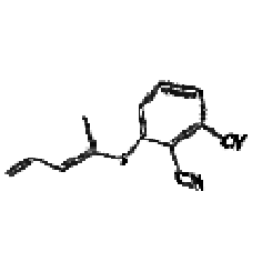 C=C/C=C(\C)Sc1cccc(C#N)c1C#N